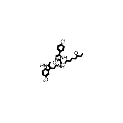 CCC(=O)CCCCC[C@H](NC(=O)Cc1c(C)[nH]c2ccc(OC)cc12)c1ncc(-c2ccc(Cl)cc2)[nH]1